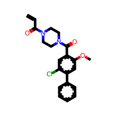 C=CC(=O)N1CCN(C(=O)c2cc(Cl)c(-c3ccccc3)cc2OC)CC1